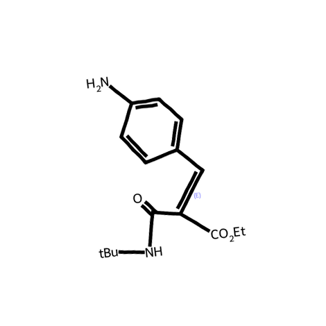 CCOC(=O)/C(=C/c1ccc(N)cc1)C(=O)NC(C)(C)C